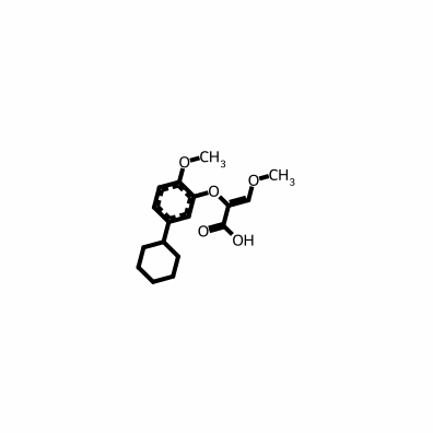 CO/C=C(\Oc1cc(C2CCCCC2)ccc1OC)C(=O)O